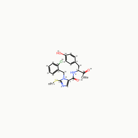 CCCSc1ncc(C(=O)N[C@@H](Cc2ccc(O)cc2)C(=O)OC)n1Cc1ccccc1Cl